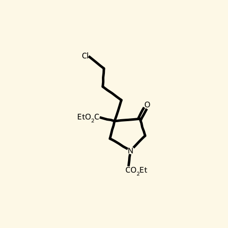 CCOC(=O)N1CC(=O)C(CCCCl)(C(=O)OCC)C1